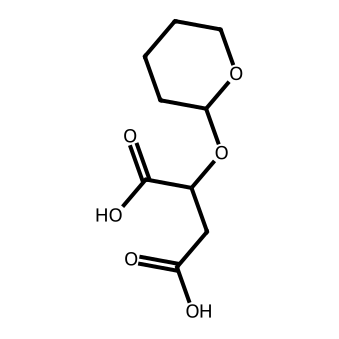 O=C(O)CC(OC1CCCCO1)C(=O)O